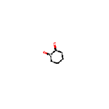 O=C1CCCC[Te]1=O